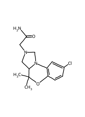 CC1(C)Oc2ccc(Cl)cc2N2CN(CC(N)=O)CC21